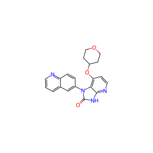 O=c1[nH]c2nccc(OC3CCOCC3)c2n1-c1ccc2ncccc2c1